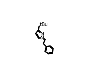 CC(C)(C)Cc1ccn(CCc2ccccc2)n1